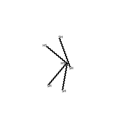 S[CH]CCC(CCCCCCCCCCCCCCCCCCCCS)C(CCCCCCCCCCCCCCCCCCCCS)(CCCCCCCCCCCCCCCCCCCCS)[C](S)CCCCCCCCCCCCCCCCCCCCS